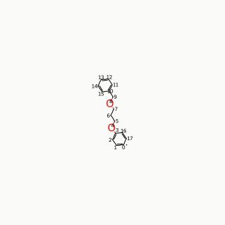 [c]1ccc(OCCCOCc2ccccc2)cc1